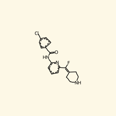 O=C(Nc1cccc(C(F)=C2CCNCC2)n1)c1ccc(Cl)cc1